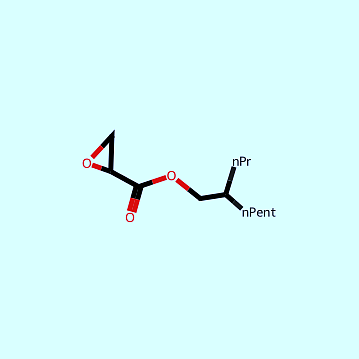 CCCCCC(CCC)COC(=O)C1CO1